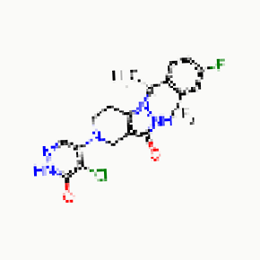 C[C@H](c1ccc(F)cc1C(F)(F)F)n1[nH]c(=O)c2c1CCN(c1cn[nH]c(=O)c1Cl)C2